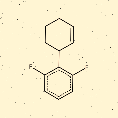 Fc1cccc(F)c1C1C=CCCC1